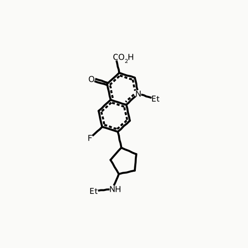 CCNC1CCC(c2cc3c(cc2F)c(=O)c(C(=O)O)cn3CC)C1